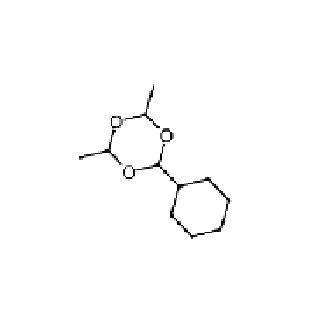 CC1OC(C)OC(C2CCCCC2)O1